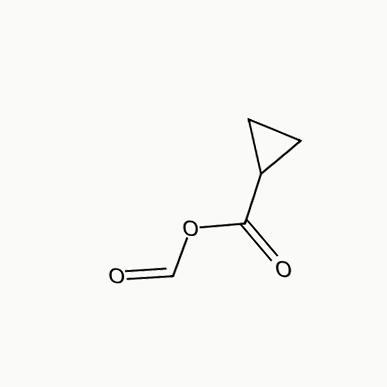 O=COC(=O)C1CC1